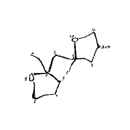 CC1(CC2(C)CCCO2)CCCO1